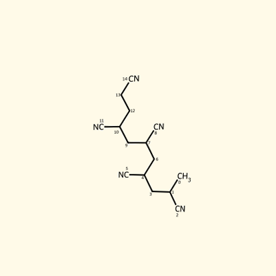 CC(C#N)CC(C#N)CC(C#N)CC(C#N)CCC#N